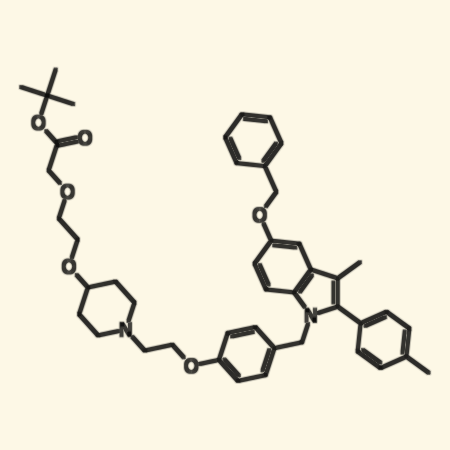 Cc1ccc(-c2c(C)c3cc(OCc4ccccc4)ccc3n2Cc2ccc(OCCN3CCC(OCCOCC(=O)OC(C)(C)C)CC3)cc2)cc1